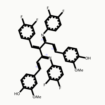 COc1cc(/C=C/C(=N\c2ccc(F)c(F)c2)C(=Cc2ccc(F)c(F)c2)C(/C=C/c2ccc(O)c(OC)c2)=N/c2ccc(F)c(F)c2)ccc1O